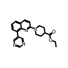 CCOC(=O)C1CCN(c2ccc3cccc(-c4cncnc4)c3n2)CC1